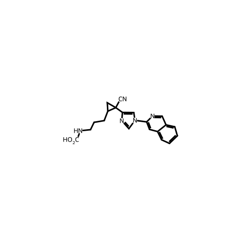 N#CC1(c2cn(-c3cc4ccccc4cn3)cn2)CC1CCCNC(=O)O